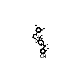 N#Cc1ccc(C(=O)N2CCC3(CC2)OC2CCC(c4cc(F)cc(F)c4)N2C3=O)c(F)c1